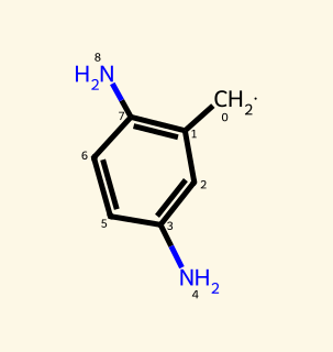 [CH2]c1cc(N)ccc1N